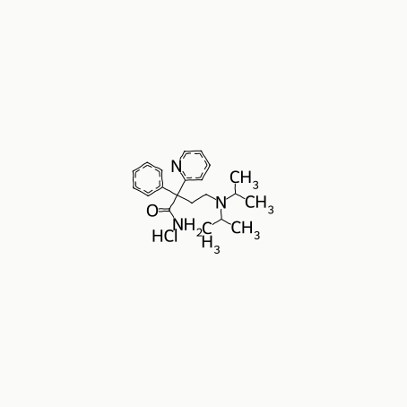 CC(C)N(CCC(C(N)=O)(c1ccccc1)c1ccccn1)C(C)C.Cl